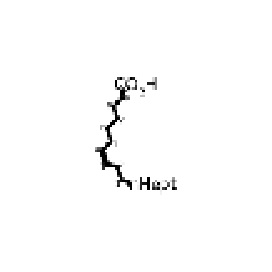 CCCCCCCCC/C=C\CCCCCC(=O)O